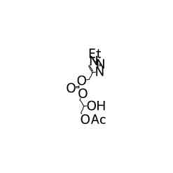 CCn1cc(COC(=O)OCC(O)COC(C)=O)nn1